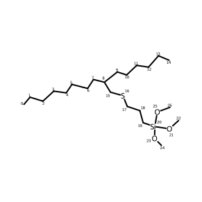 CCCCCCCCC(CCCCCC)CSCCC[Si](OC)(OC)OC